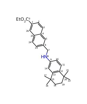 CCOC(=O)c1ccc2cc(CNc3ccc4c(c3)C(C)(C)CCC4(C)C)ccc2c1